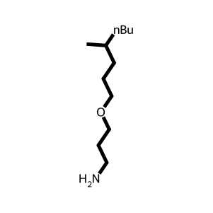 CCCCC(C)CCCOCCCN